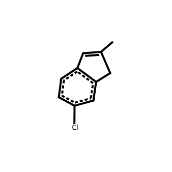 CC1=Cc2ccc(Cl)cc2C1